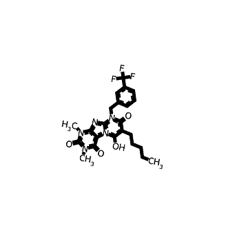 CCCCCc1c(O)n2c3c(=O)n(C)c(=O)n(C)c3nc2n(Cc2cccc(C(F)(F)F)c2)c1=O